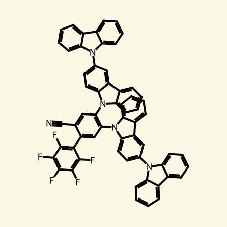 N#Cc1cc(-n2c3ccccc3c3cc(-n4c5ccccc5c5ccccc54)ccc32)c(-n2c3ccccc3c3cc(-n4c5ccccc5c5ccccc54)ccc32)cc1-c1c(F)c(F)c(F)c(F)c1F